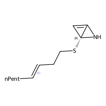 CCCCC/C=C/CCS[C@]12C=C1N2